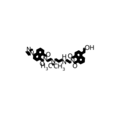 CC(C)N(CCCNCCN1C(=O)c2cccc3c(CCO)ccc(c23)C1=O)CCN1C(=O)c2cccc3c(-n4ccnc4)ccc(c23)C1=O